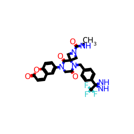 CNC(=O)N1CC2(C1)C(=O)N(c1ccc3oc(=O)ccc3c1)CC(=O)N2Cc1ccc(C2(C(F)(F)F)NN2)cc1